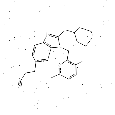 Cc1ccc(O)c(Cn2c(NC3CCNCC3)nc3ccc(CCC#N)cc32)n1